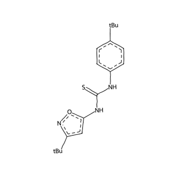 CC(C)(C)c1ccc(NC(=S)Nc2cc(C(C)(C)C)no2)cc1